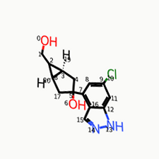 OCC1[C@H]2CC(O)(c3cc(Cl)cc4[nH]ncc34)C[C@@H]12